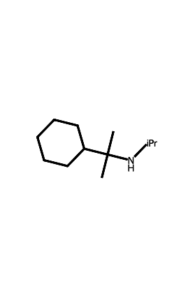 CC(C)NC(C)(C)C1CCCCC1